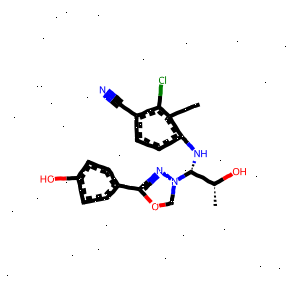 Cc1c(N[C@H]([C@@H](C)O)N2COC(c3ccc(O)cc3)=N2)ccc(C#N)c1Cl